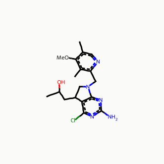 COc1c(C)cnc(CN2CC(CC(C)O)c3c(Cl)nc(N)nc32)c1C